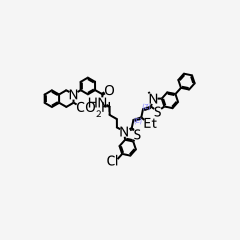 CCC(/C=C1\Sc2ccc(-c3ccccc3)cc2N1C)=C\c1sc2ccc(Cl)cc2[n+]1CCCCNC(=O)c1cccc(N2Cc3ccccc3CC2C(=O)O)c1